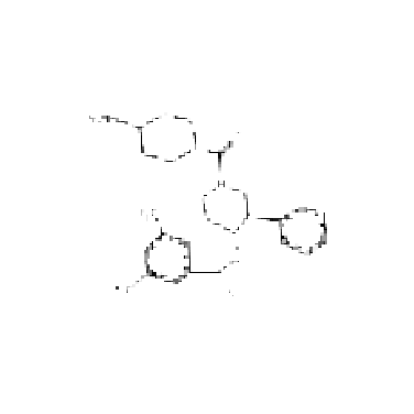 CC(=O)NC1CCN(C(=O)N2CC[C@H](O[C@H](C)c3cc(C(F)(F)F)cc(C(F)(F)F)c3)[C@H](c3ccccc3)C2)CC1